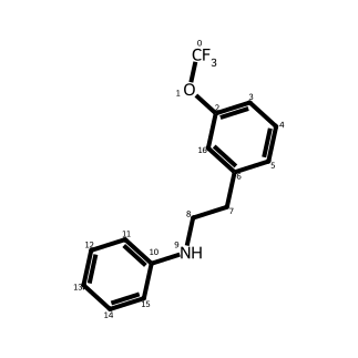 FC(F)(F)Oc1cccc(CCNc2cc[c]cc2)c1